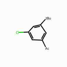 CC(=O)c1cc(Cl)cc(C(C)(C)C)c1